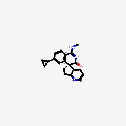 CNC1=NC(=O)[C@]2(CCc3ncccc32)c2cc(C3CC3)ccc21